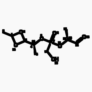 CC1OC([C@H](C)OP(=O)(CO)O[C@@H](C)C=O)O1